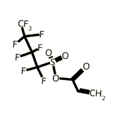 C=CC(=O)OS(=O)(=O)C(F)(F)C(F)(F)C(F)(F)C(F)(F)F